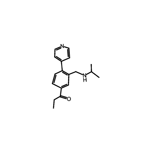 CCC(=O)c1ccc(-c2ccncc2)c(CNC(C)C)c1